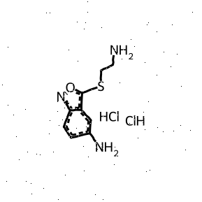 Cl.Cl.NCCSc1onc2ccc(N)cc12